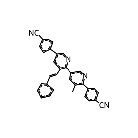 Cc1cc(-c2ncc(-c3ccc(C#N)cc3)cc2C=Cc2ccccc2)cnc1-c1ccc(C#N)cc1